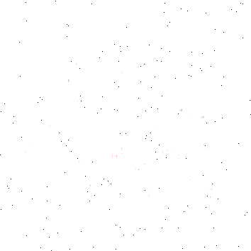 C=CCC(CC=C)c1ccccc1.O=C(O)c1ccccc1C(=O)O